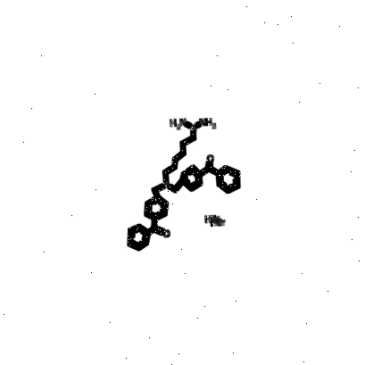 Br.Br.NN(N)CCCCCCN(Cc1ccc(C(=O)c2ccccc2)cc1)Cc1ccc(C(=O)c2ccccc2)cc1